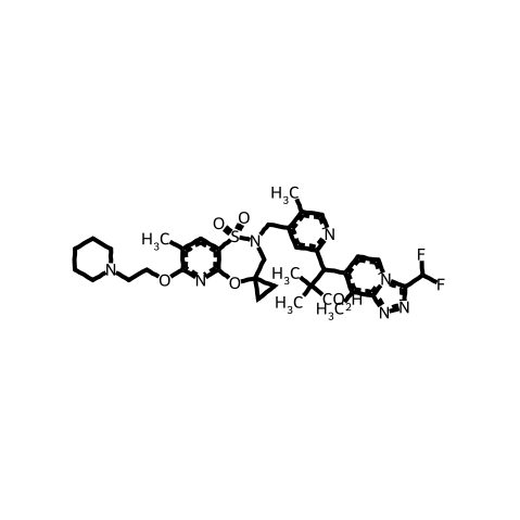 Cc1cnc(C(c2ccn3c(C(F)F)nnc3c2C)C(C)(C)C(=O)O)cc1CN1CC2(CC2)Oc2nc(OCCN3CCCCC3)c(C)cc2S1(=O)=O